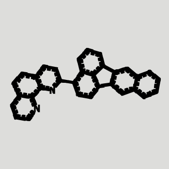 c1ccc2cc3c(cc2c1)-c1cccc2c(-c4ccc5ccc6cccnc6c5n4)ccc-3c12